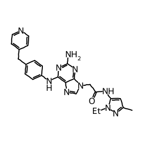 CCn1nc(C)cc1NC(=O)Cn1cnc2c(Nc3ccc(Cc4ccncc4)cc3)nc(N)nc21